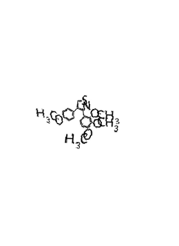 COc1ccc(-c2csnc2-c2ccc(OC)c(OC)c2OC)cc1